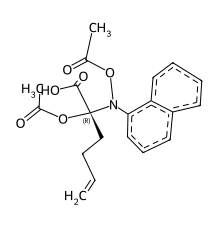 C=CCC[C@@](OC(C)=O)(C(=O)O)N(OC(C)=O)c1cccc2ccccc12